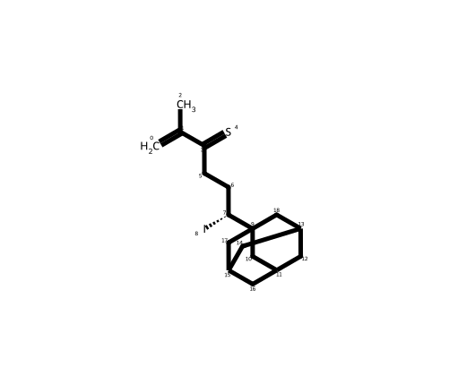 C=C(C)C(=S)CC[C@@H](I)C12CC3CC(CC(C3)C1)C2